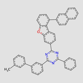 Cc1cccc(-c2cccc(-c3nc(-c4ccccc4)nc(-c4ccc5c(c4)oc4cccc(-c6ccc7ccccc7c6)c45)n3)c2)c1